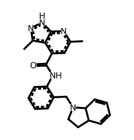 Cc1cc(C(=O)Nc2ccccc2CN2CCC3C=CC=CC32)c2c(C)n[nH]c2n1